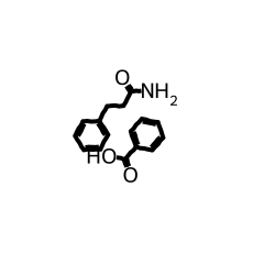 NC(=O)CCc1ccccc1.O=C(O)c1ccccc1